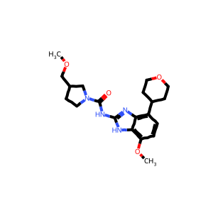 COCC1CCN(C(=O)Nc2nc3c(C4CCOCC4)ccc(OC)c3[nH]2)C1